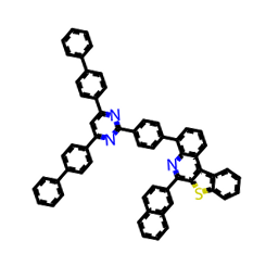 c1ccc(-c2ccc(-c3cc(-c4ccc(-c5ccccc5)cc4)nc(-c4ccc(-c5cccc6c5nc(-c5ccc7ccccc7c5)c5sc7ccccc7c56)cc4)n3)cc2)cc1